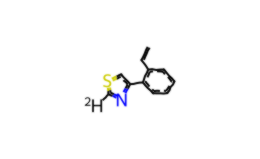 [2H]c1nc(-c2ccccc2C=C)cs1